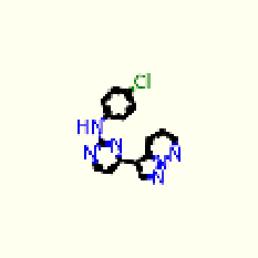 Clc1ccc(Nc2nccc(-c3cnn4ncccc34)n2)cc1